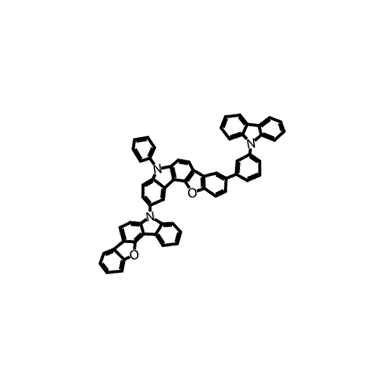 c1ccc(-n2c3ccc(-n4c5ccccc5c5c6oc7ccccc7c6ccc54)cc3c3c4oc5ccc(-c6cccc(-n7c8ccccc8c8ccccc87)c6)cc5c4ccc32)cc1